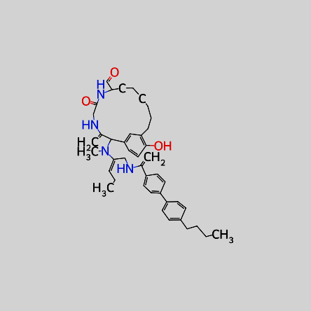 C=C(NC/C(=C\CC)N(C)C1C(=C)NCC(=O)NC(C=O)CCCCCCc2cc1ccc2O)c1ccc(-c2ccc(CCCC)cc2)cc1